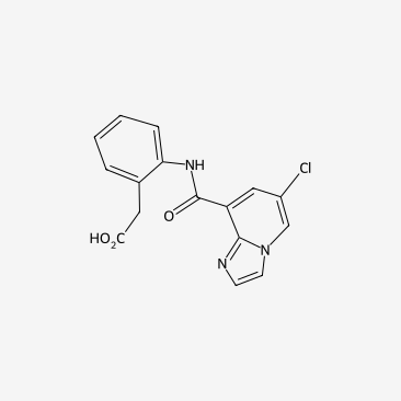 O=C(O)Cc1ccccc1NC(=O)c1cc(Cl)cn2ccnc12